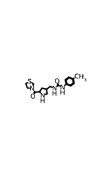 Cc1ccc(NC(=O)NCC2CNC(C(=O)N3CCSC3)C2)cc1